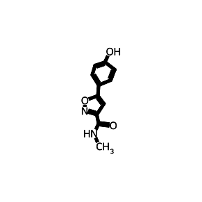 CNC(=O)c1cc(-c2ccc(O)cc2)on1